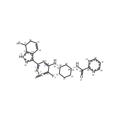 C=C=C(F)/C(=N\C(=N/C)c1n[nH]c2c1C=CCC2F)N[C@H]1CCC[C@@H](NC(=O)c2ncccn2)C1